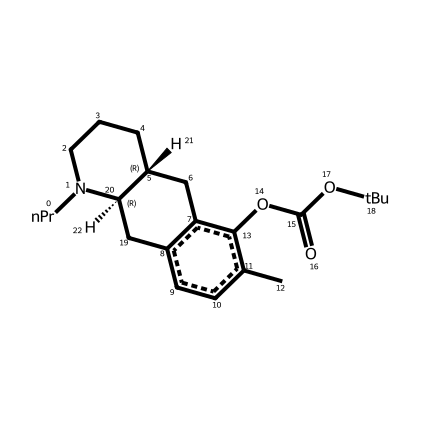 CCCN1CCC[C@@H]2Cc3c(ccc(C)c3OC(=O)OC(C)(C)C)C[C@H]21